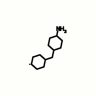 NC1CCC(CC2CC[CH]CC2)CC1